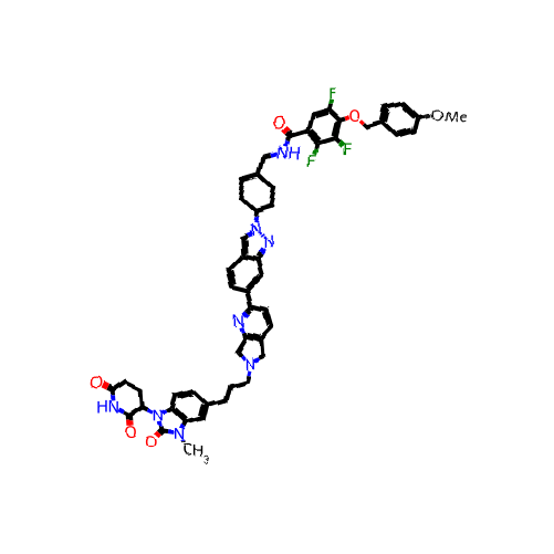 COc1ccc(COc2c(F)cc(C(=O)NCC3CCC(n4cc5ccc(-c6ccc7c(n6)CN(CCCc6ccc8c(c6)n(C)c(=O)n8C6CCC(=O)NC6=O)C7)cc5n4)CC3)c(F)c2F)cc1